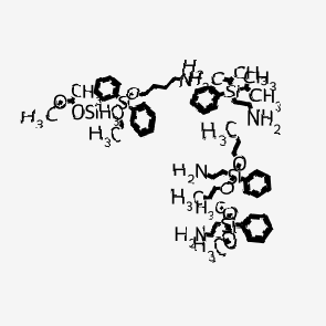 CC(C)[Si](CCN)(c1ccccc1)C(C)C.CCCO[Si](CCN)(OCCC)c1ccccc1.CCO[Si](OCCCCN)(c1ccccc1)c1ccccc1.COC(C)O[SiH3].CO[Si](CCN)(OC)c1ccccc1